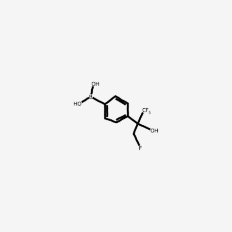 OB(O)c1ccc(C(O)(CF)C(F)(F)F)cc1